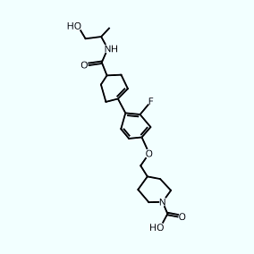 CC(CO)NC(=O)C1CC=C(c2ccc(OCC3CCN(C(=O)O)CC3)cc2F)CC1